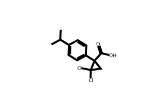 CC(C)c1ccc(C2(C(=O)O)CC2(Cl)Cl)cc1